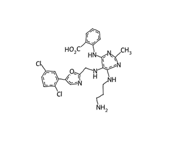 Cc1nc(NCCCN)c(NCc2ncc(-c3cc(Cl)ccc3Cl)o2)c(Nc2ccccc2C(=O)O)n1